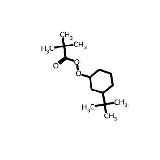 CC(C)(C)C(=O)OOC1CCCC(C(C)(C)C)C1